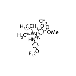 COC(=O)c1cc2nc(Nc3ccc(OC(F)(F)F)cc3)n([C@H]3C[C@@H](C)CC(C)(C)C3)c2cc1OCC(F)(F)F